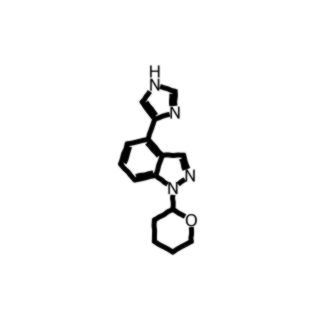 c1cc(-c2c[nH]cn2)c2cnn(C3CCCCO3)c2c1